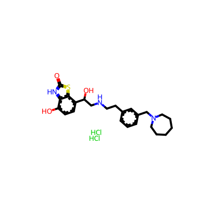 Cl.Cl.O=c1[nH]c2c(O)ccc(C(O)CNCCc3cccc(CN4CCCCCC4)c3)c2s1